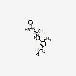 C/C(=C\N=C(/S)N1CCCC1)n1cc(-c2cc(C(=O)NC3CC3)ccc2C)cn1